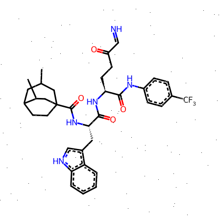 CC1CC2CCC(C(=O)N[C@@H](Cc3c[nH]c4ccccc34)C(=O)N[C@@H](CCC(=O)C=N)C(=O)Nc3ccc(C(F)(F)F)cc3)(C1)CC2C